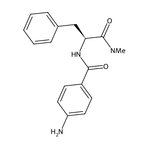 CNC(=O)[C@H](Cc1ccccc1)NC(=O)c1ccc(N)cc1